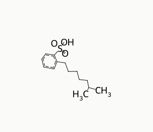 CC(C)CCCCCc1ccccc1S(=O)(=O)O